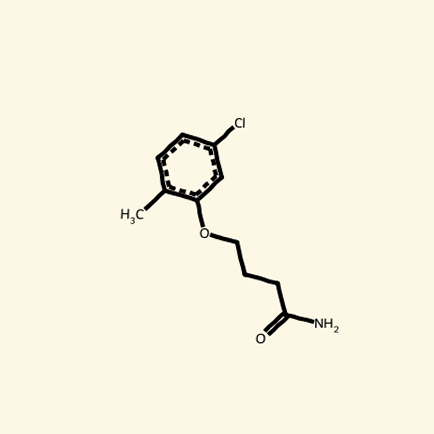 Cc1ccc(Cl)cc1OCCCC(N)=O